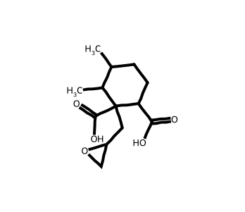 CC1CCC(C(=O)O)C(CC2CO2)(C(=O)O)C1C